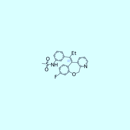 CC/C(=C1/c2ccc(F)cc2OCc2ncccc21)c1cccc(NS(C)(=O)=O)c1